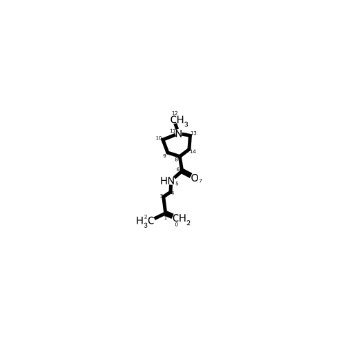 C=C(C)CCNC(=O)C1CCN(C)CC1